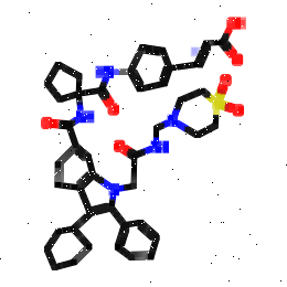 O=C(O)/C=C/c1ccc(NC(=O)C2(NC(=O)c3ccc4c(C5CCCCC5)c(-c5ccccc5)n(CC(=O)NCN5CCS(=O)(=O)CC5)c4c3)CCCC2)cc1